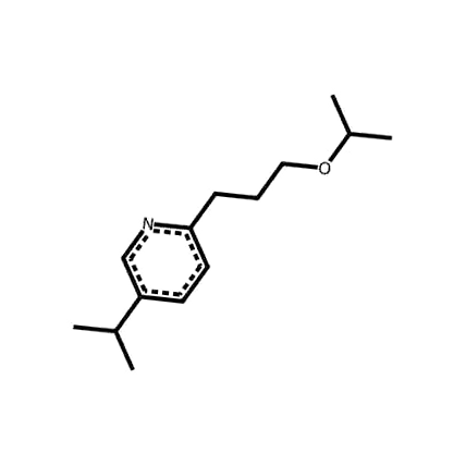 CC(C)OCCCc1ccc(C(C)C)cn1